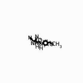 COCC1CCC(NC(=O)N/C(C#N)=C(\N)C#N)CC1